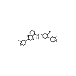 Cc1cc(-c2cnc3c(NCc4ccc(-c5ccnc(C)c5)c(F)c4)cccc3n2)ccn1